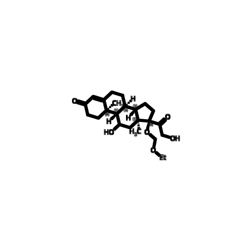 CCOCO[C@]1(C(=O)CO)CC[C@H]2[C@@H]3CCC4=CC(=O)CC[C@]4(C)[C@H]3C(O)C[C@@]21C